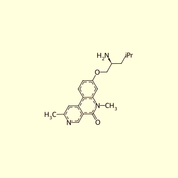 Cc1cc2c(cn1)c(=O)n(C)c1cc(OC[C@@H](N)CC(C)C)ccc21